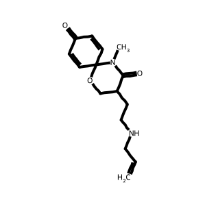 C=CCNCCC1COC2(C=CC(=O)C=C2)N(C)C1=O